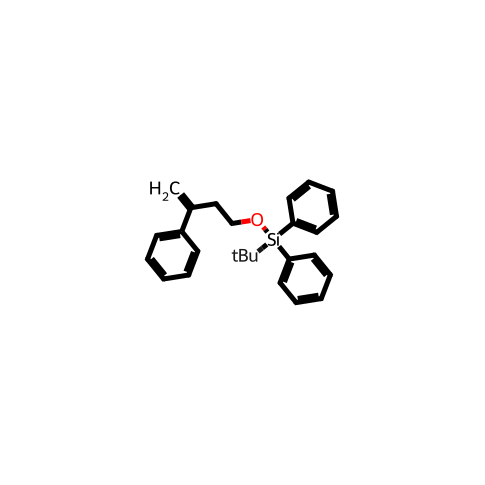 C=C(CCO[Si](c1ccccc1)(c1ccccc1)C(C)(C)C)c1ccccc1